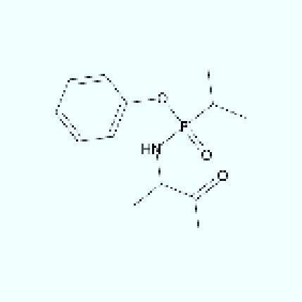 CC(=O)C(C)NP(=O)(Oc1ccccc1)C(C)C